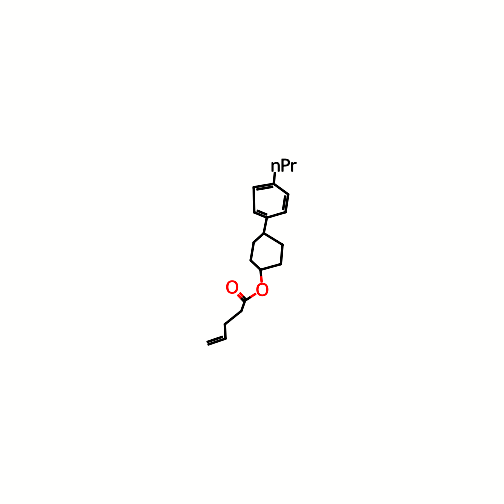 C=CCCC(=O)OC1CCC(c2ccc(CCC)cc2)CC1